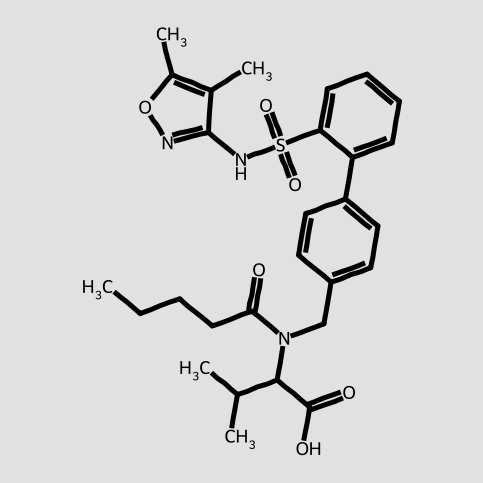 CCCCC(=O)N(Cc1ccc(-c2ccccc2S(=O)(=O)Nc2noc(C)c2C)cc1)C(C(=O)O)C(C)C